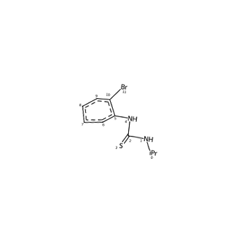 CC(C)NC(=S)Nc1ccccc1Br